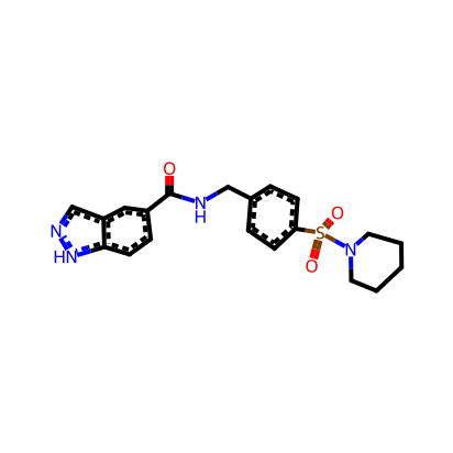 O=C(NCc1ccc(S(=O)(=O)N2CCCCC2)cc1)c1ccc2[nH]ncc2c1